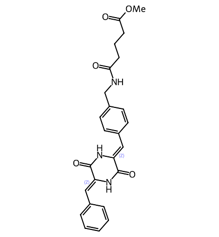 COC(=O)CCCC(=O)NCc1ccc(/C=c2\[nH]c(=O)/c(=C/c3ccccc3)[nH]c2=O)cc1